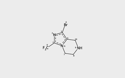 FC(F)(F)c1nc(Br)c2n1CCNC2